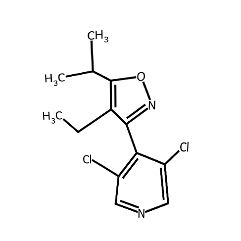 CCc1c(-c2c(Cl)cncc2Cl)noc1C(C)C